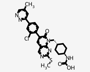 CSc1ncc2cc(-c3ccc(-c4cc(C)cnn4)cc3Cl)c(=O)n(C[C@H]3CC[C@H](NC(=O)O)CC3)c2n1